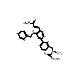 CCCCCCCC(=O)N(C)Cc1cccc(-c2ccc(/C=C/C(=O)OC)c(OCc3ccccc3)c2)c1